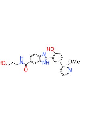 COc1ncccc1-c1ccc(O)c(-c2nc3ccc(C(=O)NCCCO)cc3[nH]2)c1